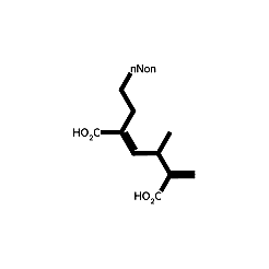 C=C(C(=O)O)C(C)C=C(CCCCCCCCCCC)C(=O)O